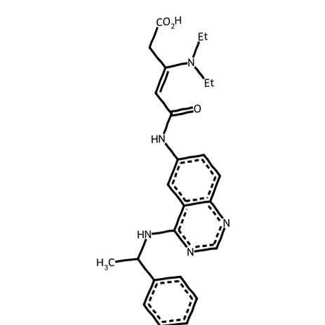 CCN(CC)C(=CC(=O)Nc1ccc2ncnc(NC(C)c3ccccc3)c2c1)CC(=O)O